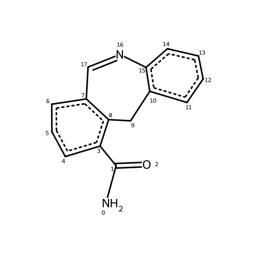 NC(=O)c1cccc2c1Cc1ccccc1N=C2